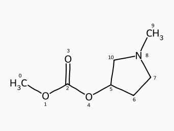 COC(=O)OC1CCN(C)C1